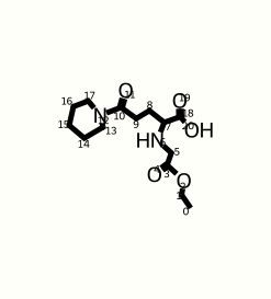 CCOC(=O)CNC(CCC(=O)N1CCCCC1)C(=O)O